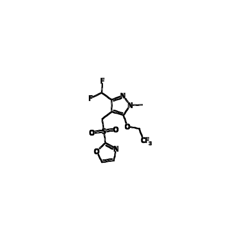 Cn1nc(C(F)F)c(CS(=O)(=O)c2ncco2)c1OCC(F)(F)F